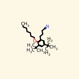 CCCCCCCOc1c(CCCC#N)cc(C(C)(C)C)cc1C(C)(C)C